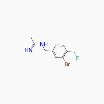 CC(=N)NCc1ccc(CF)c(Br)c1